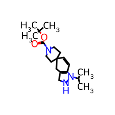 CC(C)N1NCC2=C1C=CC1(CCN(C(=O)OC(C)(C)C)CC1)C2